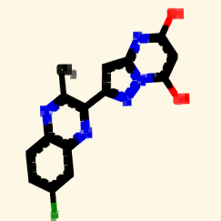 Cc1nc2ccc(F)cc2nc1-c1cc2nc(O)cc(O)n2n1